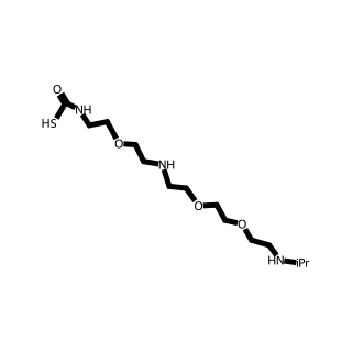 CC(C)NCCOCCOCCNCCOCCNC(=O)S